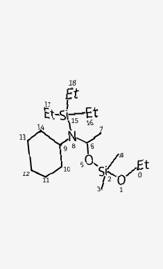 CCO[Si](C)(C)OC(C)N(C1CCCCC1)[Si](CC)(CC)CC